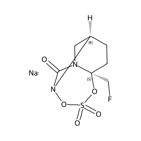 O=C1N2OS(=O)(=O)O[C@]3(CF)CC[C@@H]2CN13.[Na]